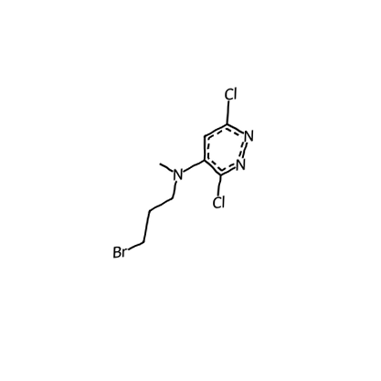 CN(CCCBr)c1cc(Cl)nnc1Cl